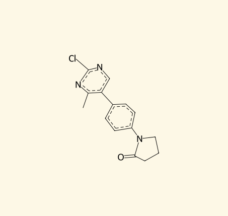 Cc1nc(Cl)ncc1-c1ccc(N2CCCC2=O)cc1